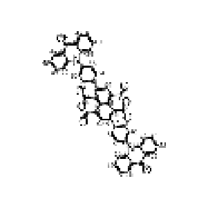 O=C1OC(=O)c2c(-c3ccc(-n4c5ccccc5c(=O)c5ccccc54)cc3)cc3c4c(c(-c5ccc(-n6c7ccccc7c(=O)c7ccccc76)cc5)cc1c24)C(=O)OC3=O